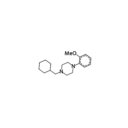 COc1ccccc1N1CCN(CC2CCCCC2)CC1